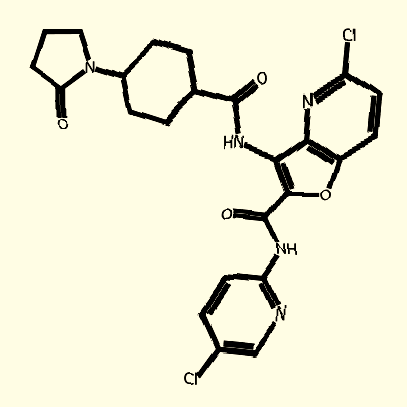 O=C(Nc1ccc(Cl)cn1)c1oc2ccc(Cl)nc2c1NC(=O)C1CCC(N2CCCC2=O)CC1